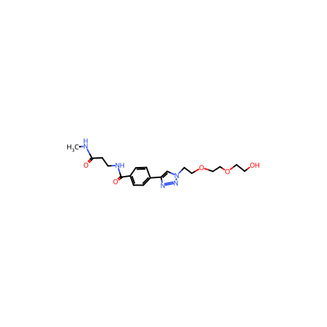 CNC(=O)CCNC(=O)c1ccc(-c2cn(CCOCCOCCO)nn2)cc1